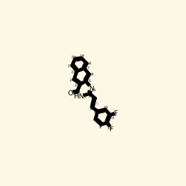 O=c1[nH]c(/C=C/c2ccc(F)c(F)c2)nc2cc3ccccc3cc12